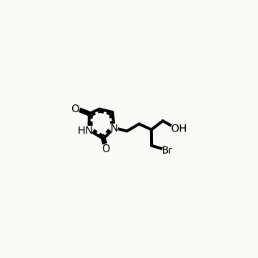 O=c1ccn(CCC(CO)CBr)c(=O)[nH]1